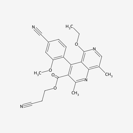 CCOc1ncc(C)c2nc(C)c(C(=O)OCCC#N)c(-c3ccc(C#N)cc3OC)c12